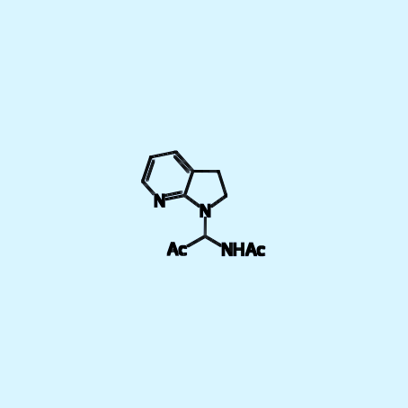 CC(=O)NC(C(C)=O)N1CCc2cccnc21